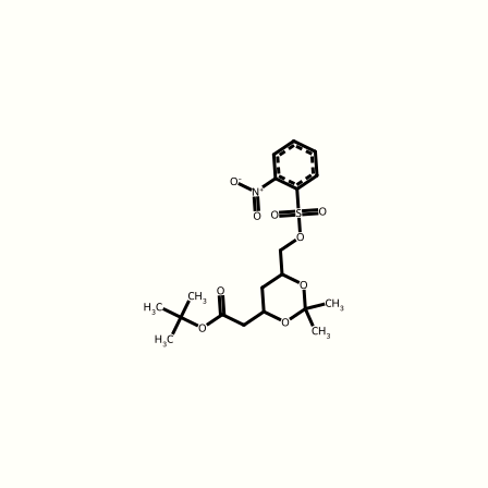 CC(C)(C)OC(=O)CC1CC(COS(=O)(=O)c2ccccc2[N+](=O)[O-])OC(C)(C)O1